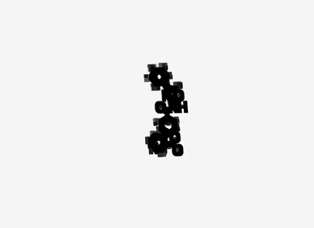 O=C1O[C@]2(CC[C@H](C(=O)Nc3nc(-c4ccccc4)co3)CC2)c2ccncc21